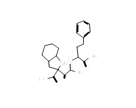 CC(NC(CCc1ccccc1)C(=O)O)C(=O)C1(C(=O)O)CC2CCCCC2N1